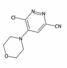 N#Cc1cc(N2CCOCC2)c(Cl)nn1